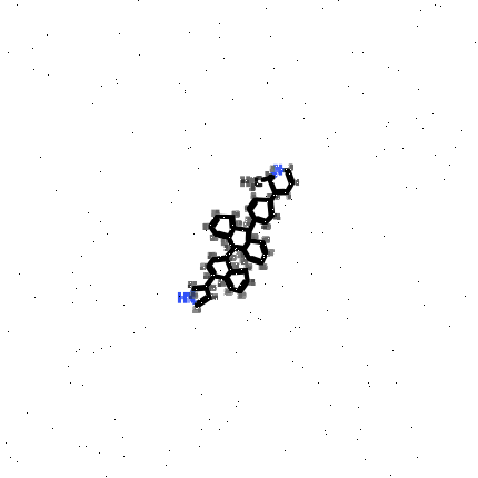 Cc1ncccc1-c1ccc(-c2c3ccccc3c(-c3ccc(-c4cc[nH]c4)c4ccccc34)c3ccccc23)cc1